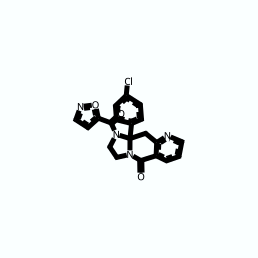 O=C(c1ccno1)N1CCN2C(=O)c3cccnc3CC12c1ccc(Cl)cc1